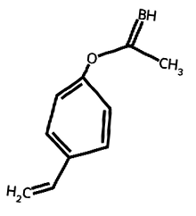 B=C(C)Oc1ccc(C=C)cc1